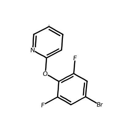 Fc1cc(Br)cc(F)c1Oc1cc[c]cn1